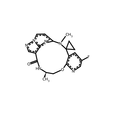 C[C@@H]1COc2ncc(F)cc2C2(CC2)N(C)c2ccn3ncc(c3n2)C(=O)N1